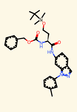 Cc1cccc(-n2ncc3ccc(NC(=O)[C@H](CCO[Si](C)(C)C(C)(C)C)NC(=O)OCc4ccccc4)cc32)c1